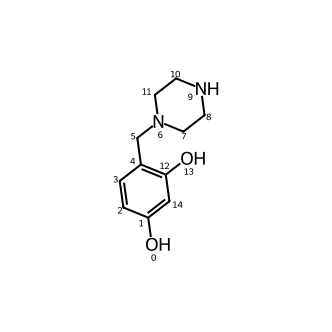 Oc1ccc(CN2CCNCC2)c(O)c1